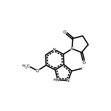 COc1cnc(N2C(=O)CCC2=O)c2c(I)n[nH]c12